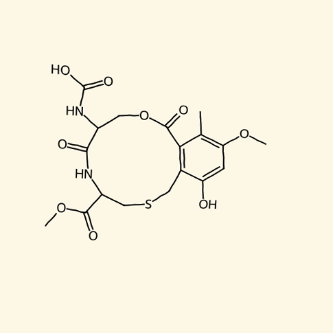 COC(=O)C1CSCc2c(O)cc(OC)c(C)c2C(=O)OCC(NC(=O)O)C(=O)N1